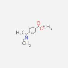 C=CN=C(C)c1ccc(C(=O)OC)cc1